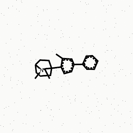 Cc1cc(-c2ccccc2)ccc1C12CCCC(CC1)N(C)C2C